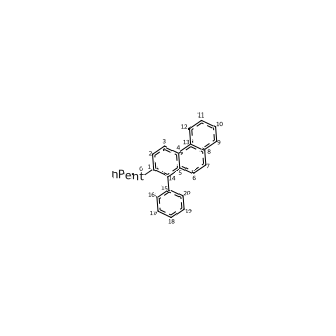 CCCCCc1ccc2c(ccc3ccccc32)c1-c1ccccc1